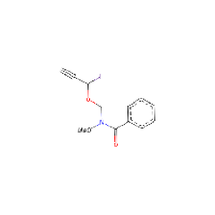 C#CC(I)OCN(OC)C(=O)c1ccccc1